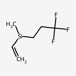 C=C[Si](C)CCC(F)(F)F